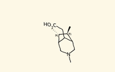 C[C@H]1C2CN(C)CC(C2CC(=O)O)[C@@H]1C